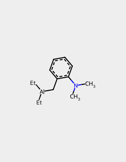 C[CH2][Al]([CH2]C)[CH2]c1ccccc1N(C)C